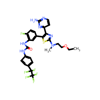 CCOCCN(C)c1nc(-c2ccnc(N)n2)c(-c2ccc(F)c(NC(=O)Nc3ccc(C(F)(F)C(F)(F)F)cc3)c2)s1